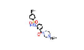 CCCN1CCCN(C(=O)c2cccc(NS(=O)(=O)c3ccc(C(C)C)cc3)c2)CC1